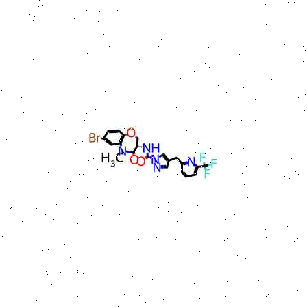 CN1C(=O)[C@@H](NC(=O)n2cc(Cc3cccc(C(F)(F)F)n3)cn2)COc2ccc(Br)cc21